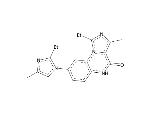 CCc1nc(C)cn1-c1ccc2[nH]c(=O)c3c(C)nc(CC)n3c2c1